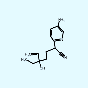 C=C[C@@](O)(CC)CCC(C#N)c1ccc(N)cn1